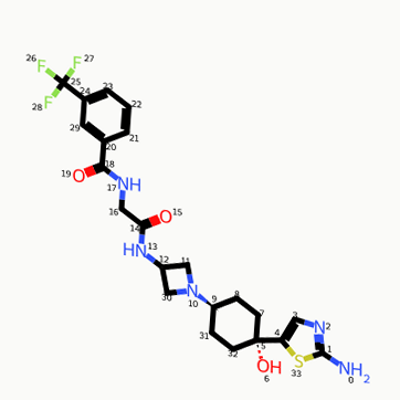 Nc1ncc([C@]2(O)CC[C@H](N3CC(NC(=O)CNC(=O)c4cccc(C(F)(F)F)c4)C3)CC2)s1